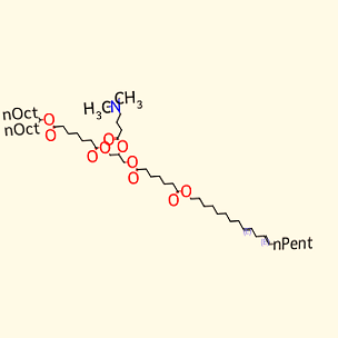 CCCCC/C=C/C/C=C/CCCCCCCCOC(=O)CCCCCC(=O)OCC(COC(=O)CCCCCC(=O)OC(CCCCCCCC)CCCCCCCC)OC(=O)CCCN(C)C